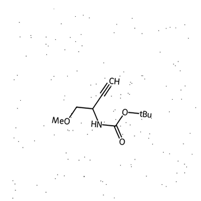 C#CC(COC)NC(=O)OC(C)(C)C